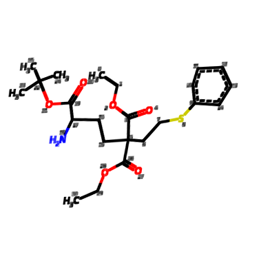 CCOC(=O)C(CCSc1ccccc1)(CCC(N)C(=O)OC(C)(C)C)C(=O)OCC